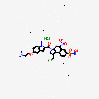 CN(C)CCOc1ccc2[nH]c(C(=O)N3CC(CCl)=C4C5C=CC(S(=O)(=O)NO)=CC5=C([N+](=O)[O-])CC43)cc2c1.Cl